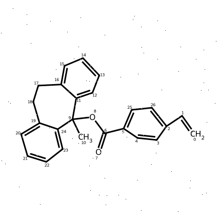 C=Cc1ccc(C(=O)OC2(C)c3ccccc3CCc3ccccc32)cc1